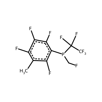 Cc1c(F)c(F)c(F)c(P(CF)C(F)(F)C(F)(F)F)c1F